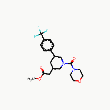 COC(=O)CC1CC(c2ccc(C(F)(F)F)cc2)CN(C(=O)N2CCOCC2)C1